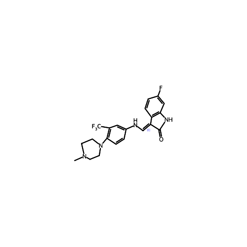 CN1CCN(c2ccc(N/C=C3/C(=O)Nc4cc(F)ccc43)cc2C(F)(F)F)CC1